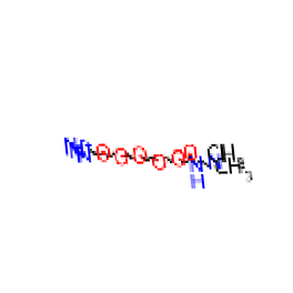 CN(C)CCNC(=O)COCCOCCOCCOCCOCCN=[N+]=[N-]